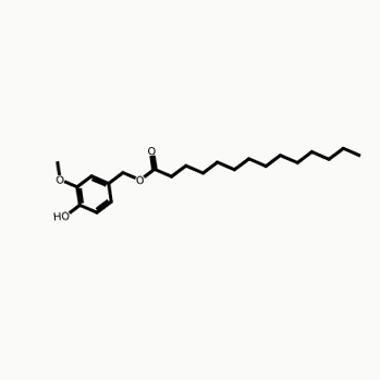 CCCCCCCCCCCCCC(=O)OCc1ccc(O)c(OC)c1